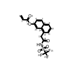 C=CC(=O)Oc1ccc2cccc(CC(=O)NS(=O)(=O)C(F)(F)F)c2c1